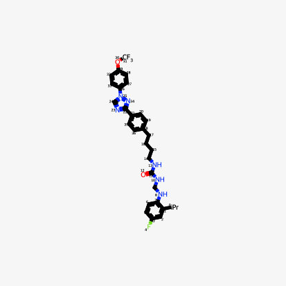 CC(C)c1cc(F)ccc1NCNC(=O)NCCCCc1ccc(-c2ncn(-c3ccc(OC(F)(F)F)cc3)n2)cc1